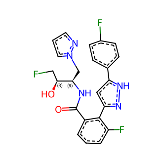 O=C(N[C@H](Cn1cccn1)[C@@H](O)CF)c1cccc(F)c1-c1cc(-c2ccc(F)cc2)[nH]n1